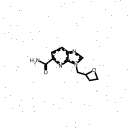 NC(=O)c1ccc2ncn(CC3CCO3)c2n1